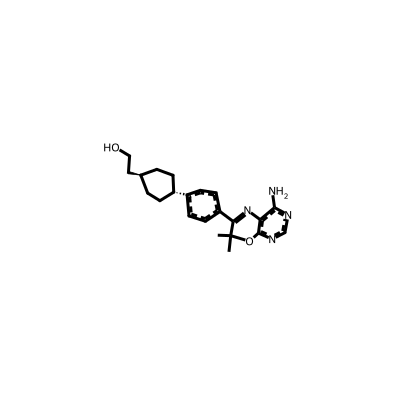 CC1(C)Oc2ncnc(N)c2N=C1c1ccc([C@H]2CC[C@H](CCO)CC2)cc1